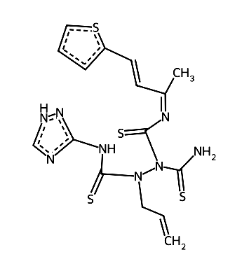 C=CCN(C(=S)Nc1nc[nH]n1)N(C(N)=S)C(=S)/N=C(C)\C=C\c1cccs1